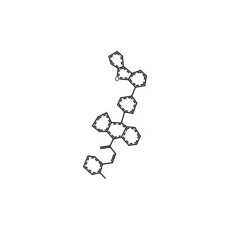 C=C(/C=C\c1ccccc1C)c1c2ccccc2c(-c2ccc(-c3cccc4c3oc3ccccc34)cc2)c2ccccc12